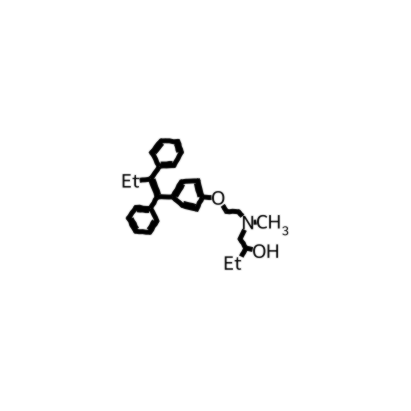 [CH2]CC(O)CN(C)CCOc1ccc(/C(=C(/CC)c2ccccc2)c2ccccc2)cc1